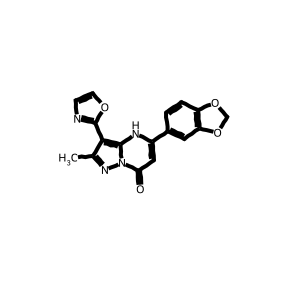 Cc1nn2c(=O)cc(-c3ccc4c(c3)OCO4)[nH]c2c1-c1ncco1